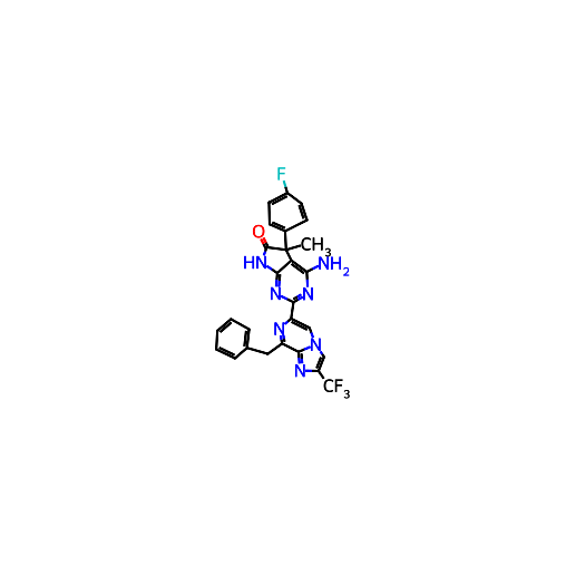 CC1(c2ccc(F)cc2)C(=O)Nc2nc(-c3cn4cc(C(F)(F)F)nc4c(Cc4ccccc4)n3)nc(N)c21